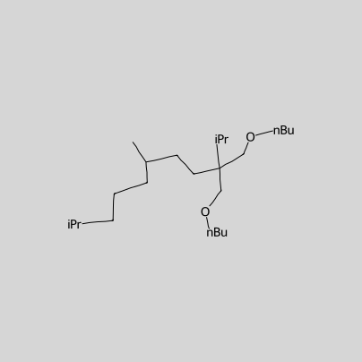 CCCCOCC(CCC(C)CCCC(C)C)(COCCCC)C(C)C